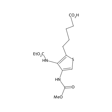 CCOC(=O)Nc1c(NC(=O)OC)csc1CCCCC(=O)O